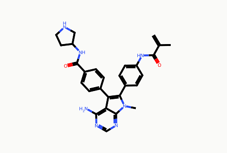 C=C(C)C(=O)Nc1ccc(-c2c(-c3ccc(C(=O)NC4CCNC4)cc3)c3c(N)ncnc3n2C)cc1